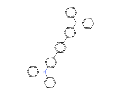 C1=CC(C(c2ccccc2)c2ccc(-c3ccc(-c4ccc(N(C5=CCCC=C5)c5ccccc5)cc4)cc3)cc2)=CCC1